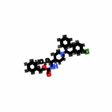 O=C(NC(C(=O)O)C1CCN(CCc2cc(Cl)ccc2-c2ccccc2)CC1)OCc1ccccc1